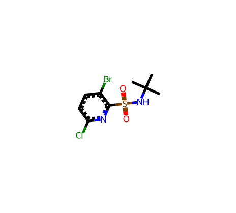 CC(C)(C)NS(=O)(=O)c1nc(Cl)ccc1Br